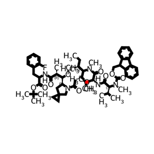 CC[C@H](C)C([C@@H](CC(=O)N1CC2(CC2)C[C@H]1C(OC)[C@@H](C)C(=O)NC(Cc1ccccc1F)C(=O)OC(C)(C)C)OC)N(C)C(=O)[C@@H](NC(=O)[C@H](C(C)C)N(C)C(=O)OCC1c2ccccc2-c2ccccc21)C(C)C